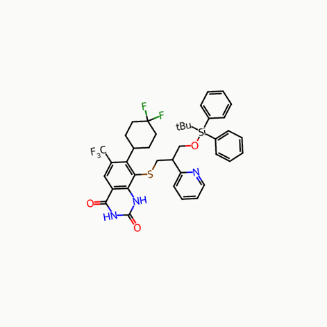 CC(C)(C)[Si](OCC(CSc1c(C2CCC(F)(F)CC2)c(C(F)(F)F)cc2c(=O)[nH]c(=O)[nH]c12)c1ccccn1)(c1ccccc1)c1ccccc1